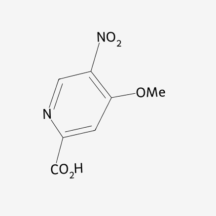 COc1cc(C(=O)O)ncc1[N+](=O)[O-]